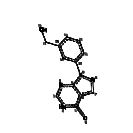 O=c1[nH]cnc2c1cnn2-c1cccc(CO)c1